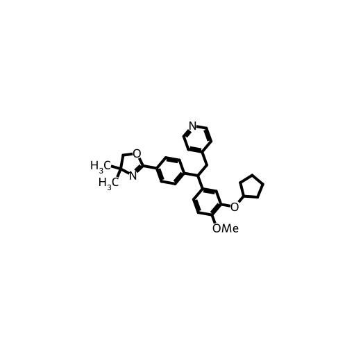 COc1ccc(C(Cc2ccncc2)c2ccc(C3=NC(C)(C)CO3)cc2)cc1OC1CCCC1